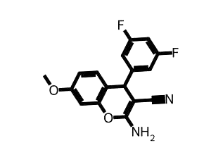 COc1ccc2c(c1)OC(N)=C(C#N)C2c1cc(F)cc(F)c1